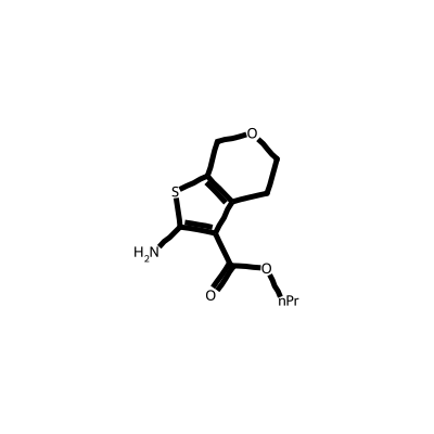 CCCOC(=O)c1c(N)sc2c1CCOC2